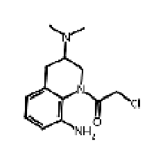 CN(C)C1Cc2cccc(N)c2N(C(=O)CCl)C1